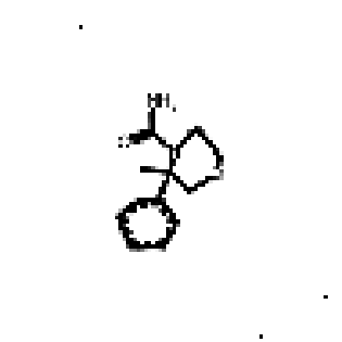 CC1(c2ccccc2)COCCN1C(N)=O